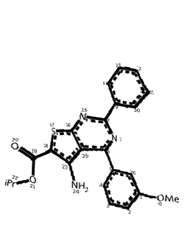 COc1cccc(-c2nc(-c3ccccc3)nc3sc(C(=O)OC(C)C)c(N)c23)c1